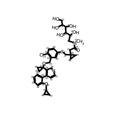 CN(CC(O)C(O)C(O)C(O)CO)C(=O)CC1(CSc2ccc(Cl)c(COC3(c4cnccc4-c4ccccc4OC4CC4)CC3)c2)CC1